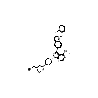 Nc1ncnc2c1c(-c1ccc3c(ccn3Cc3ccccc3F)c1)nn2[C@H]1CC[C@H](NC[C@@H](O)CO)CC1